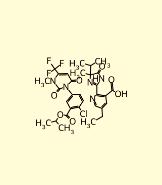 CC(C)OC(=O)c1cc(-n2c(=O)cc(C(F)(F)F)n(C)c2=O)ccc1Cl.CCc1cnc(C2=NC(C)(C(C)C)C(=O)N2)c(C(=O)O)c1